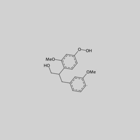 COc1[c]ccc(CC(CO)c2ccc(OO)cc2OC)c1